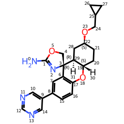 NC1=N[C@@]2(CO1)c1cc(-c3cncnc3)ccc1O[C@H]1CC[C@H](OCC3CC3)C[C@@H]12